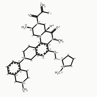 C=C(F)C(=O)N1C[C@@H]2C(=O)N(C)c3c(OC[C@@H]4CCCN4C)nc4c(c3N2C[C@H]1C)CCN(c1cccc2c1CCN(C)C2)C4